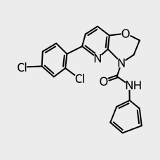 O=C(Nc1ccccc1)N1CCOc2ccc(-c3ccc(Cl)cc3Cl)nc21